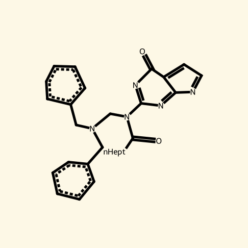 CCCCCCCC(=O)N(CN(Cc1ccccc1)Cc1ccccc1)C1=NC(=O)C2=CC=NC2=N1